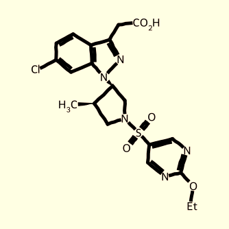 CCOc1ncc(S(=O)(=O)N2C[C@@H](C)[C@@H](n3nc(CC(=O)O)c4ccc(Cl)cc43)C2)cn1